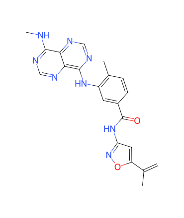 C=C(C)c1cc(NC(=O)c2ccc(C)c(Nc3ncnc4c(NC)ncnc34)c2)no1